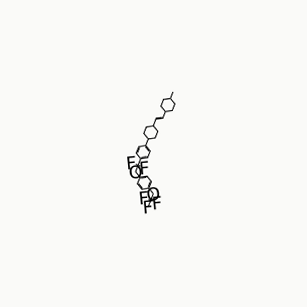 CC1CCC(/C=C/C2CCC(c3ccc(C(F)(F)Oc4ccc(OC(F)(F)F)cc4)cc3)CC2)CC1